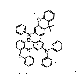 CC1(C)c2ccccc2Oc2cc3c(cc21)-c1cc(N(c2ccccc2)c2ccccc2)cc2c1B(c1cccc4c1N2c1ccccc1S4)N3c1ccccc1